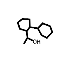 CC(O)C1CCCCC1C1CCCCC1